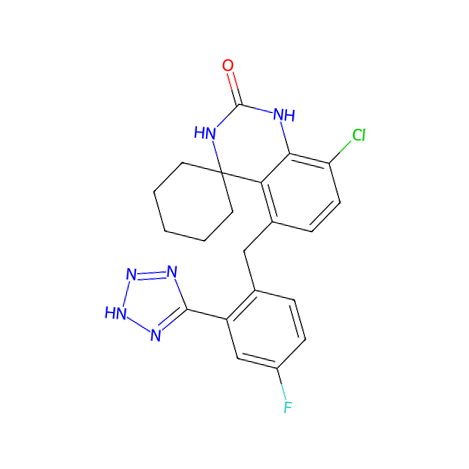 O=C1Nc2c(Cl)ccc(Cc3ccc(F)cc3-c3nn[nH]n3)c2C2(CCCCC2)N1